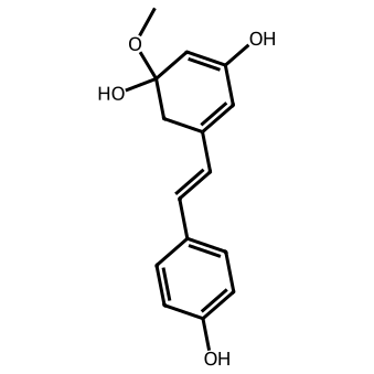 COC1(O)C=C(O)C=C(C=Cc2ccc(O)cc2)C1